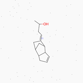 CC(O)C/C=C1\CC2CC1C1C=CCC21